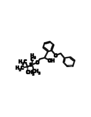 CC(C)(C)[Si](C)(C)OCC(O)c1ccccc1OCc1ccccc1